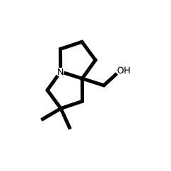 CC1(C)CN2CCCC2(CO)C1